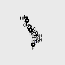 N#C/N=C(\NC[C@H](NC(=O)c1c(Cl)cc2c(c1Cl)CCN(C(=O)c1ccc3cn[nH]c3c1)C2)C(=O)O)Nc1ccc(F)cc1